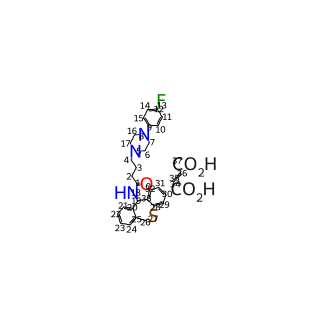 O=C(CCCN1CCN(c2ccc(F)cc2)CC1)N[C@H]1c2ccccc2CSc2ccccc21.O=C(O)C=CC(=O)O